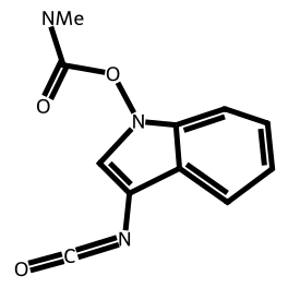 CNC(=O)On1cc(N=C=O)c2ccccc21